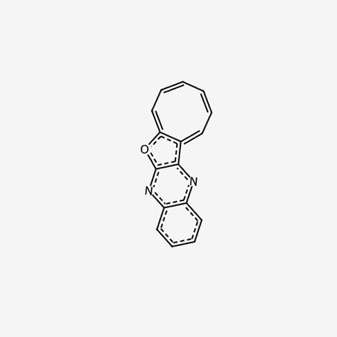 C1=C\C=c2/c(oc3nc4ccccc4nc23)=C\C=C/1